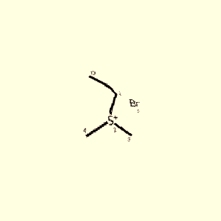 CC[S+](C)C.[Br-]